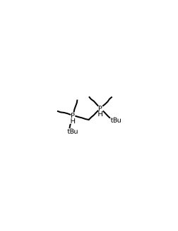 CC(C)(C)[PH](C)(C)C[PH](C)(C)C(C)(C)C